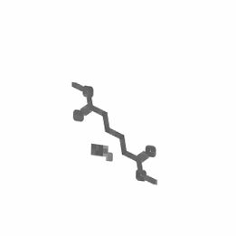 COC(=O)CCCCC(=O)OC.N